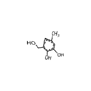 Cc1cc(O)c(O)c(CO)c1